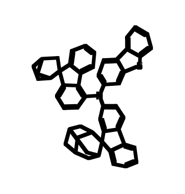 c1ccc2c(c1)-c1c(N(c3ccc4c(c3)C3(c5ccccc5-4)C4CC5CC(C4)CC3C5)c3ccc4c(c3)sc3ccccc34)cccc1C21CC2CCC1C2